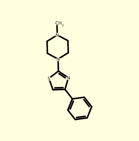 CN1CCN(c2nc(-c3ccccc3)[c]s2)CC1